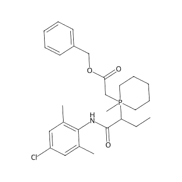 CCC(C(=O)Nc1c(C)cc(Cl)cc1C)P1(C)(CC(=O)OCc2ccccc2)CCCCC1